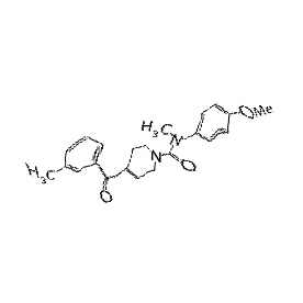 COc1ccc(N(C)C(=O)N2CCC(C(=O)c3cccc(C)c3)CC2)cc1